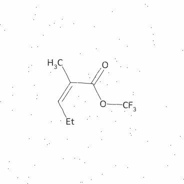 CCC=C(C)C(=O)OC(F)(F)F